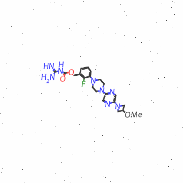 COC1CN(c2cnc(N3CCN(c4cccc(COC(=O)NC(=N)N)c4F)CC3)cn2)C1